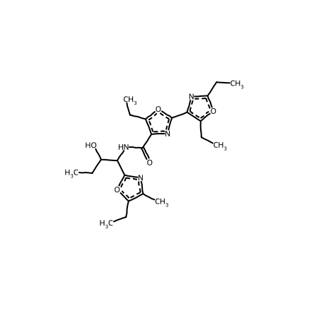 CCc1nc(-c2nc(C(=O)NC(c3nc(C)c(CC)o3)C(O)CC)c(CC)o2)c(CC)o1